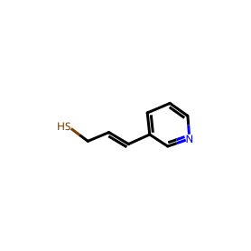 SCC=Cc1cccnc1